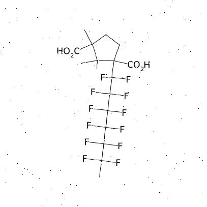 CC(F)(F)C(F)(F)C(F)(F)C(F)(F)C(F)(F)C(F)(F)C1(C(=O)O)CCC(C)(C(=O)O)C1(C)C